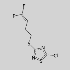 FC(F)=CCCSc1nsc(Cl)n1